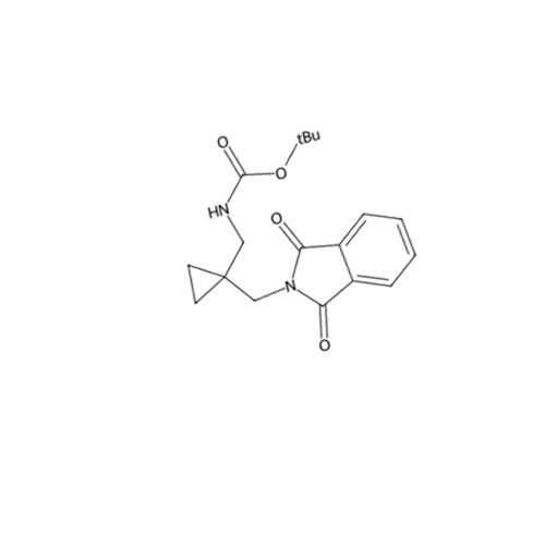 CC(C)(C)OC(=O)NCC1(CN2C(=O)c3ccccc3C2=O)CC1